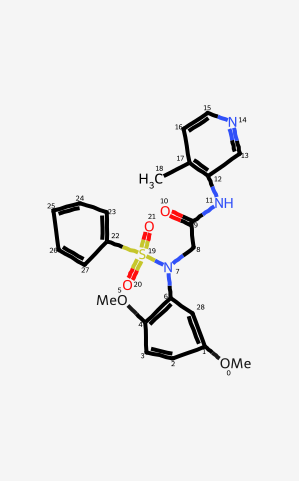 COc1ccc(OC)c(N(CC(=O)Nc2cnccc2C)S(=O)(=O)c2ccccc2)c1